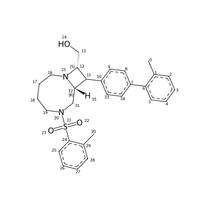 Cc1ccccc1-c1ccc(C2[C@@H](CO)N3CCCCN(S(=O)(=O)c4ccccc4C)C[C@@H]23)cc1